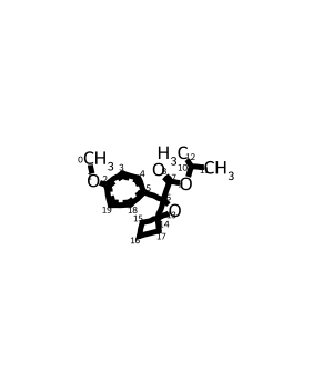 COc1ccc(C2(C(=O)OC(C)C)OC23CCC3)cc1